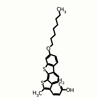 C=C(O)/C=C\c1c(C)sc2c1ccc1c3ccc(OCCCCCCCC)cc3sc12